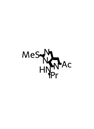 CSc1ncc2cc(C(C)=O)nc(NC(C)C)c2n1